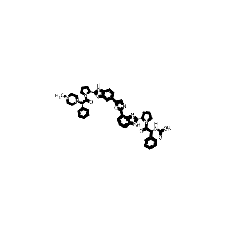 CN1CCN([C@@H](C(=O)N2CCC[C@H]2c2nc3cc(-c4cnc(-c5cccc6[nH]c([C@@H]7CCCN7C(=O)[C@H](NC(=O)O)c7ccccc7)nc56)o4)ccc3[nH]2)c2ccccc2)CC1